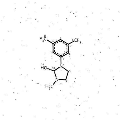 CN1CCN(c2cc(C(F)(F)F)cc(C(F)(F)F)c2)C1O